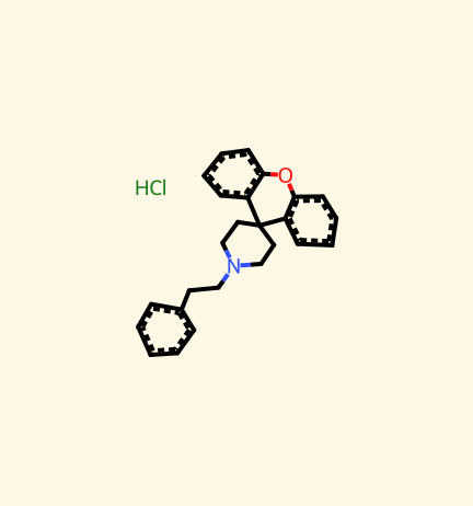 Cl.c1ccc(CCN2CCC3(CC2)c2ccccc2Oc2ccccc23)cc1